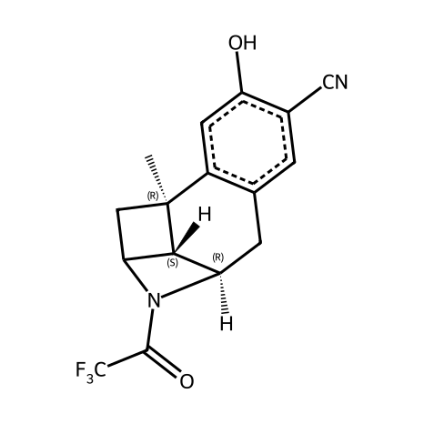 C[C@@]12CC3[C@H]1[C@@H](Cc1cc(C#N)c(O)cc12)N3C(=O)C(F)(F)F